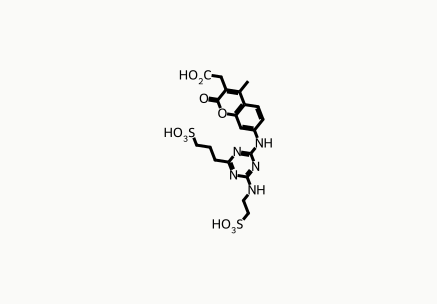 Cc1c(CC(=O)O)c(=O)oc2cc(Nc3nc(CCCS(=O)(=O)O)nc(NCCS(=O)(=O)O)n3)ccc12